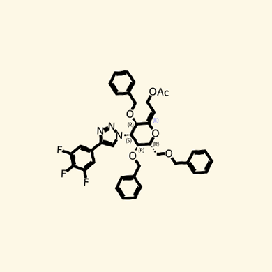 CC(=O)OC/C=C1/O[C@H](COCc2ccccc2)[C@H](OCc2ccccc2)[C@H](n2cc(-c3cc(F)c(F)c(F)c3)nn2)[C@H]1OCc1ccccc1